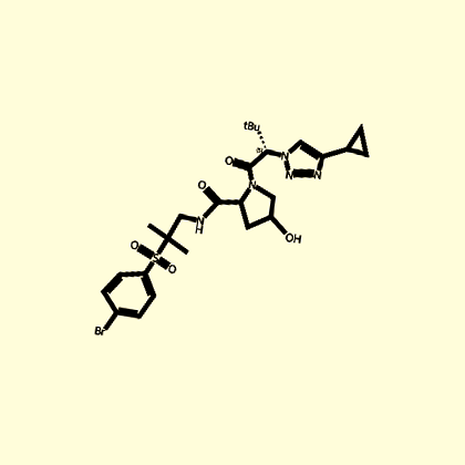 CC(C)(C)[C@@H](C(=O)N1CC(O)CC1C(=O)NCC(C)(C)S(=O)(=O)c1ccc(Br)cc1)n1cc(C2CC2)nn1